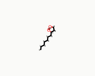 CCCCCCCC1CCOO1